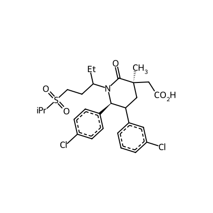 CCC(CCS(=O)(=O)C(C)C)N1C(=O)[C@@](C)(CC(=O)O)CC(c2cccc(Cl)c2)[C@H]1c1ccc(Cl)cc1